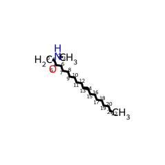 C=C(NC)C(=O)CCCCCCCC=CCCCCCCCC